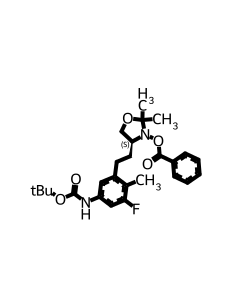 Cc1c(F)cc(NC(=O)OC(C)(C)C)cc1CC[C@H]1COC(C)(C)N1OC(=O)c1ccccc1